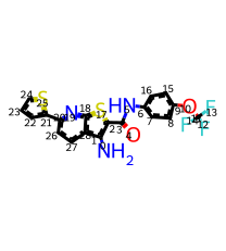 Nc1c(C(=O)Nc2ccc(OC(F)(F)F)cc2)sc2nc(-c3cccs3)ccc12